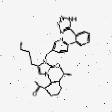 CCCCc1cn(C2C(C(C)=O)CCCC2C(C)C)c(=O)n1Cc1ccc(-c2ccccc2-c2nnn[nH]2)nc1